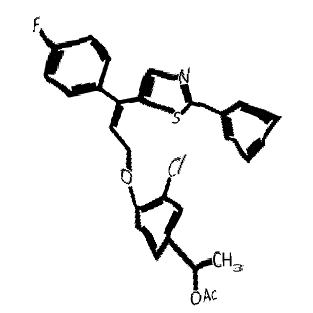 CC(=O)OC(C)c1ccc(OCC=C(c2ccc(F)cc2)c2cnc(-c3ccccc3)s2)c(Cl)c1